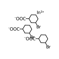 O=C([O-])C1CCCC(Br)C1.O=C([O-])C1CCCC(Br)C1.O=C([O-])C1CCCC(Br)C1.[In+3]